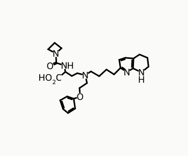 O=C(O)C(CCN(CCCCc1ccc2c(n1)NCCC2)CCOc1ccccc1)NC(=O)N1CCC1